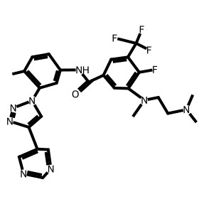 Cc1ccc(NC(=O)c2cc(N(C)CCN(C)C)c(F)c(C(F)(F)F)c2)cc1-n1cc(-c2cncnc2)nn1